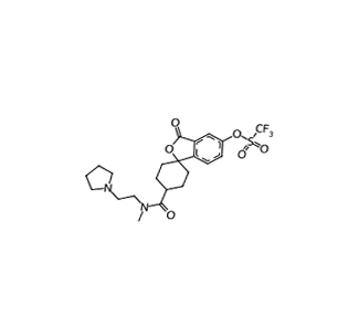 CN(CCN1CCCC1)C(=O)C1CCC2(CC1)OC(=O)c1cc(OS(=O)(=O)C(F)(F)F)ccc12